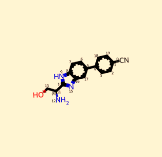 N#Cc1ccc(-c2ccc3[nH]c([C@@H](N)CO)nc3c2)cc1